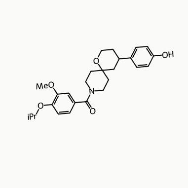 COc1cc(C(=O)N2CCC3(CC2)CC(c2ccc(O)cc2)CCO3)ccc1OC(C)C